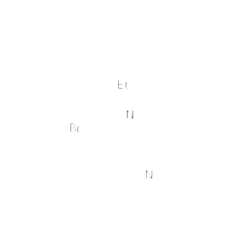 CCN1CC[N]CC1Br